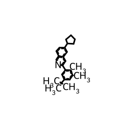 Cc1cc(C(C)(C)C)cc(-c2cc3cc(C4CCCC4)ccc3cn2)c1C